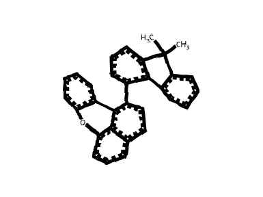 CC1(C)c2ccccc2-c2c(-c3ccc4cccc5c4c3-c3ccccc3O5)cccc21